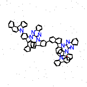 c1ccc2c(c1)ccc1c2c2ccccc2n1-c1ccc2c3c4ccccc4ccc3n(-c3nc4ccccc4nc3-n3c4ccccc4c4ccc(-c5ccc6ccc7c(c6c5)c5ccc(-n6c8ccccc8c8ccccc86)cc5n7-c5nc6ccccc6nc5-n5c6ccccc6c6ccccc65)cc43)c2c1